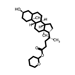 C[C@H](CCC(=O)OC1CCCCO1)[C@H]1CC[C@H]2[C@@H]3CCC4C[C@H](O)CC[C@]4(C)[C@H]3CC[C@]12C